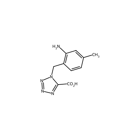 Cc1ccc(Cn2nnnc2C(=O)O)c(N)c1